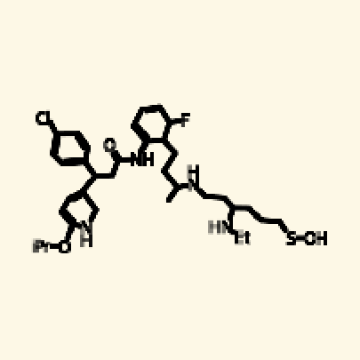 CCNC(CCCSO)CCNC(C)CCC1C(NC(=O)CC(C2=CC=C(OC(C)C)NC2)c2ccc(Cl)cc2)=CC=CC1F